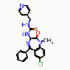 CN1C(=O)C(NC(=S)NCc2ccncc2)N=C(c2ccccc2)c2cc(Cl)ccc21